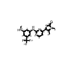 CNc1cc(Nc2nccc(-c3sc(=O)n(C)c3C)n2)cc(C(F)(F)F)c1